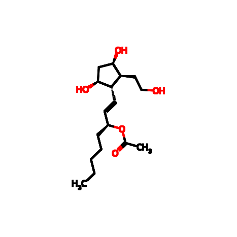 CCCCC[C@@H](/C=C/[C@H]1[C@H](CCO)[C@H](O)C[C@@H]1O)OC(C)=O